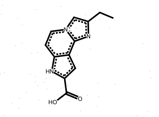 CCc1cn2ccc3[nH]c(C(=O)O)cc3c2n1